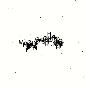 COc1ncc(-c2ccc3nccc(-c4ccc(COC(=O)C(C)(C)CCOC(C)(S)CCC(=O)NCCNC(=O)CCc5cccc6c5CN(C(=O)C[C@@H]5C[C@@H](C(=O)N7CC(F)(F)C[C@H]7C#N)NC5=O)C6)nc4)c3c2)cc1NS(=O)(=O)c1ccc(F)cc1F